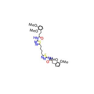 COc1cccc(CCC(=O)Nc2nnc(CCCCc3nnc(NC(=O)CCc4cccc(OC)c4OC)s3)s2)c1OC